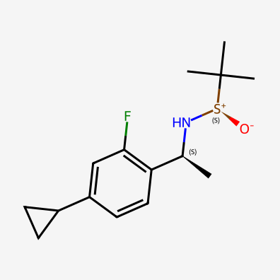 C[C@H](N[S@+]([O-])C(C)(C)C)c1ccc(C2CC2)cc1F